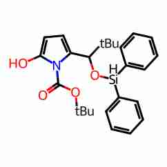 CC(C)(C)OC(=O)n1c(O)ccc1C(O[SiH](c1ccccc1)c1ccccc1)C(C)(C)C